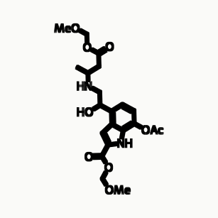 COCOC(=O)CC(C)NCC(O)c1ccc(OC(C)=O)c2[nH]c(C(=O)OCOC)cc12